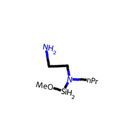 CCCN(CCN)[SiH2]OC